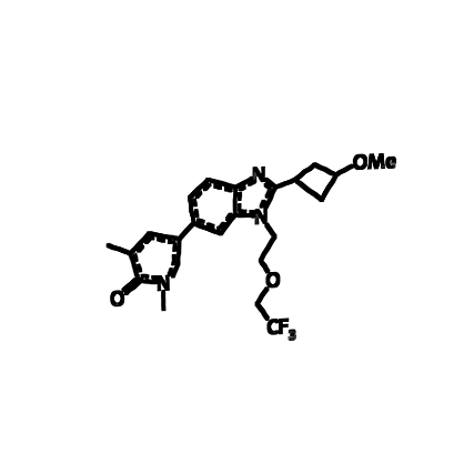 COC1CC(c2nc3ccc(-c4cc(C)c(=O)n(C)c4)cc3n2CCOCC(F)(F)F)C1